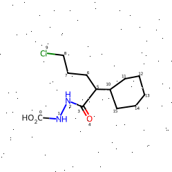 O=C(O)NNC(=O)C(CCCCl)C1CCCCC1